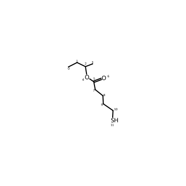 CCC(C)OC(=O)CCCCS